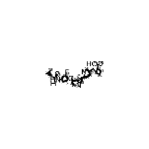 O=C(Nc1ccc(Oc2ccnc3cc(-c4ccc(CN5CCCC5C(=O)O)cn4)sc23)c(F)c1)NC1CC1